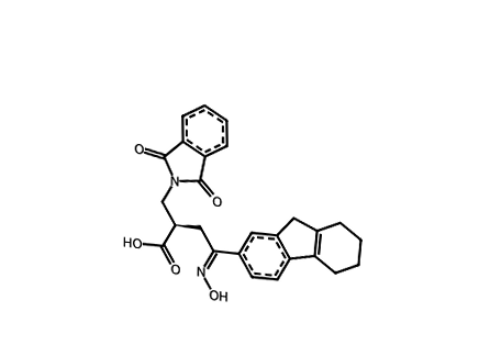 O=C(O)[C@H](CC(=NO)c1ccc2c(c1)CC1=C2CCCC1)CN1C(=O)c2ccccc2C1=O